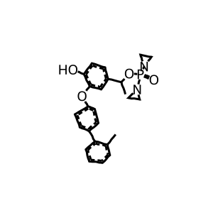 Cc1ccccc1-c1ccc(Oc2cc(C(C)OP(=O)(N3CC3)N3CC3)ccc2O)cc1